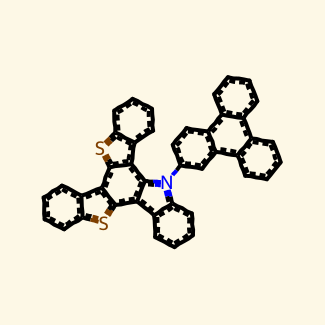 c1ccc2c(c1)sc1c2c2sc3ccccc3c2c2c1c1ccccc1n2-c1ccc2c3ccccc3c3ccccc3c2c1